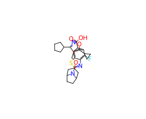 O=C(O)c1cc(F)c2nc(N3C4CCC3CC(OCc3c(C5CCCC5)noc3C3CC3)C4)sc2c1